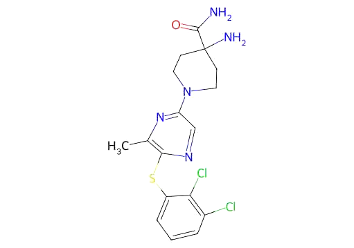 Cc1nc(N2CCC(N)(C(N)=O)CC2)cnc1Sc1cccc(Cl)c1Cl